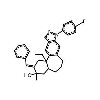 CCC12CC(=Cc3ccccc3)C(C)(O)CC1CCCc1cc3c(cnn3-c3ccc(F)cc3)cc12